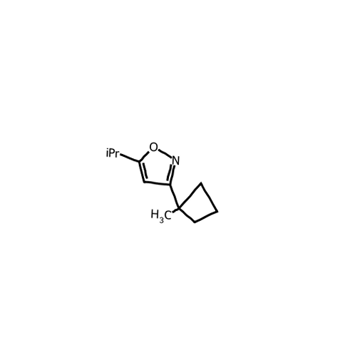 CC(C)c1cc(C2(C)CCC2)no1